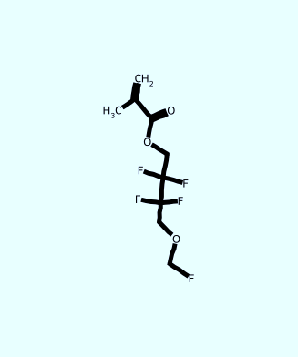 C=C(C)C(=O)OCC(F)(F)C(F)(F)COCF